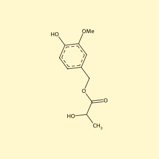 COc1cc(COC(=O)C(C)O)ccc1O